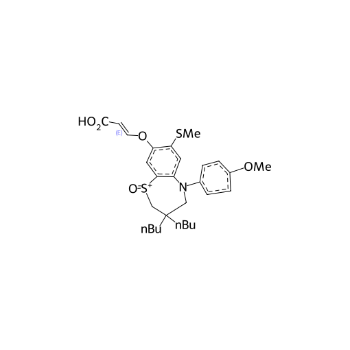 CCCCC1(CCCC)CN(c2ccc(OC)cc2)c2cc(SC)c(O/C=C/C(=O)O)cc2[S+]([O-])C1